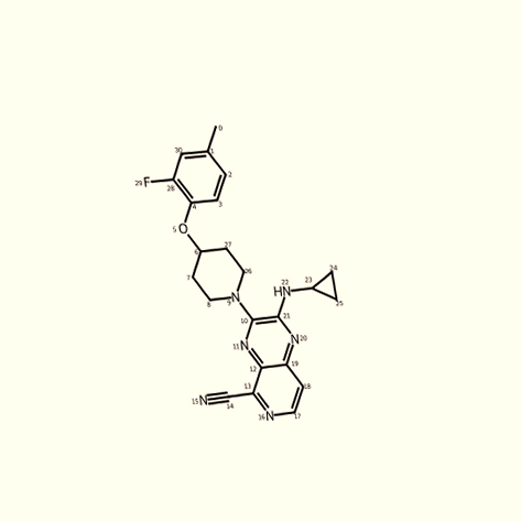 Cc1ccc(OC2CCN(c3nc4c(C#N)nccc4nc3NC3CC3)CC2)c(F)c1